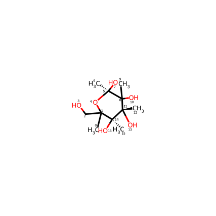 CC1(CO)O[C@@](C)(O)C(C)(O)[C@](C)(O)[C@@]1(C)O